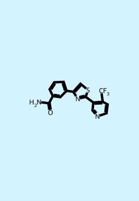 NC(=O)c1cccc(-c2csc(-c3cnccc3C(F)(F)F)n2)c1